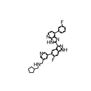 Fc1cccc(-c2ccnc3[nH]c(-c4n[nH]c5cc(F)c(-c6cncc(CNCC7CCCC7)c6)cc45)nc23)c1